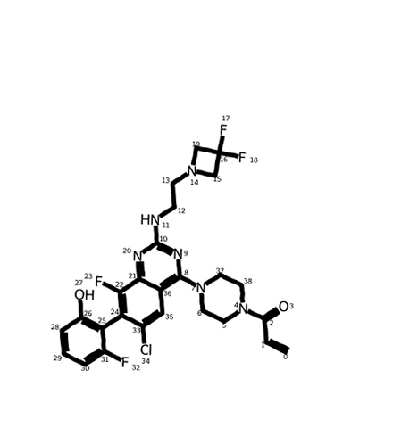 C=CC(=O)N1CCN(c2nc(NCCN3CC(F)(F)C3)nc3c(F)c(-c4c(O)cccc4F)c(Cl)cc23)CC1